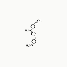 C=C(c1ccc(COC)cn1)N1CCC(Cc2ccc(OC)cc2)CC1